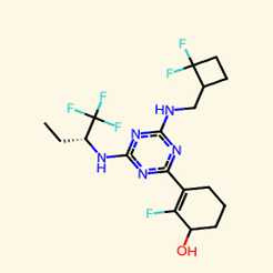 CC[C@@H](Nc1nc(NCC2CCC2(F)F)nc(C2=C(F)C(O)CCC2)n1)C(F)(F)F